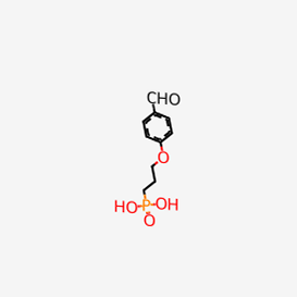 O=Cc1ccc(OCCCP(=O)(O)O)cc1